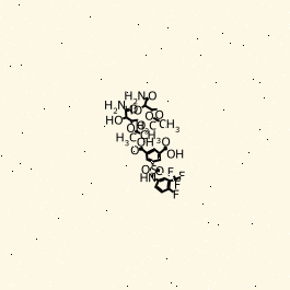 CC1(C)OCC(C(O)C(N)=O)O1.CC1(C)OCC(C(O)C(N)=O)O1.O=C(O)c1cc(C(=O)O)cc(S(=O)(=O)Nc2ccc(F)c(C(F)(F)F)c2)c1